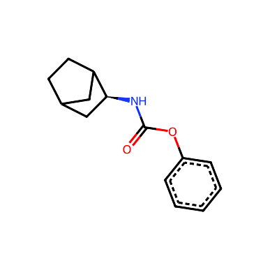 O=C(N[C@H]1CC2CCC1C2)Oc1ccccc1